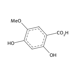 COc1cc(C(=O)O)c(O)cc1O